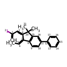 C=C(I)/C=C1\C(=C/C)c2ccc(-c3ccccc3)cc2C1(C)C